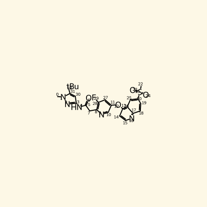 Cn1nc(NC(=O)Cc2ncc(Oc3ccnc4ccc(S(C)(=O)=O)cc34)cc2F)cc1C(C)(C)C